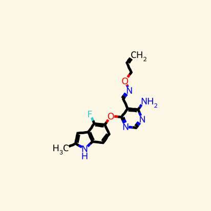 C=CCO/N=C/c1c(N)ncnc1Oc1ccc2[nH]c(C)cc2c1F